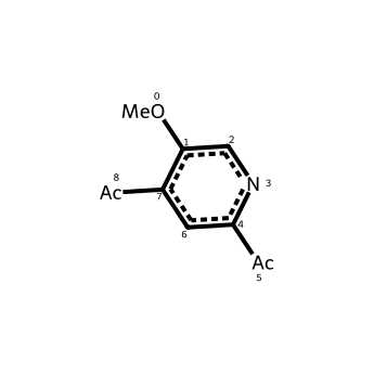 COc1cnc(C(C)=O)cc1C(C)=O